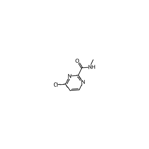 CNC(=O)c1nccc(Cl)n1